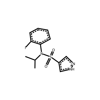 CC(C)N(c1ccccc1I)S(=O)(=O)c1cn[nH]c1